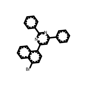 Brc1ccc(-c2cc(-c3ccccc3)nc(-c3ccccc3)n2)c2ccccc12